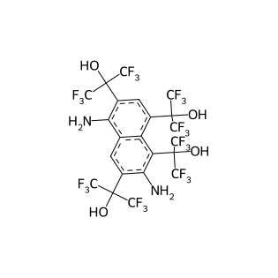 Nc1c(C(O)(C(F)(F)F)C(F)(F)F)cc2c(N)c(C(O)(C(F)(F)F)C(F)(F)F)cc(C(O)(C(F)(F)F)C(F)(F)F)c2c1C(O)(C(F)(F)F)C(F)(F)F